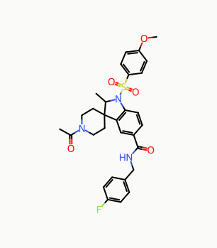 COc1ccc(S(=O)(=O)N2c3ccc(C(=O)NCc4ccc(F)cc4)cc3C3(CCN(C(C)=O)CC3)C2C)cc1